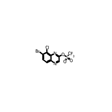 O=S(=O)(Oc1cnc2ccc(Br)c(Cl)c2n1)C(F)(F)F